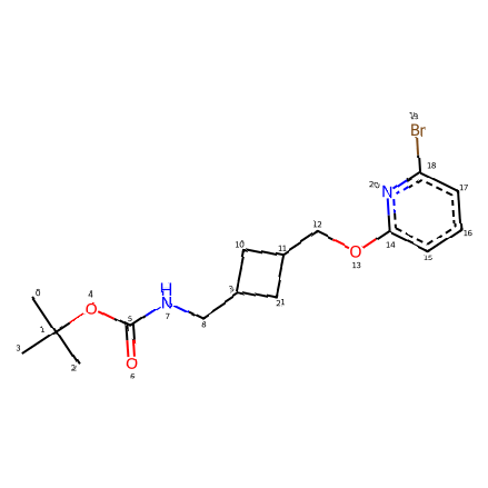 CC(C)(C)OC(=O)NCC1CC(COc2cccc(Br)n2)C1